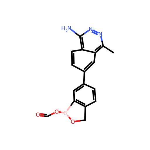 Cc1nnc(N)c2ccc(-c3ccc4c(c3)B(OC=O)OC4)cc12